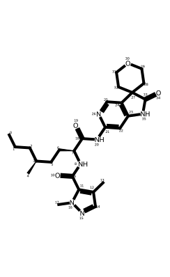 CCC[C@H](C)CC[C@H](NC(=O)c1c(C)cnn1C)C(=O)Nc1cc2c(cn1)C1(CCOCC1)C(=O)N2